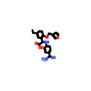 CCc1ccc(OCc2ccoc2)c(C(Nc2ccc(C(=N)N)cc2)C(=O)O)c1